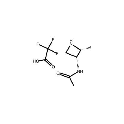 CC(=O)N[C@@H]1CN[C@@H]1C.O=C(O)C(F)(F)F